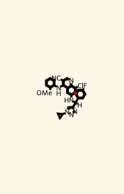 [2H][C@](Nc1cc(Cl)c2ncc(C#N)c(Nc3ccccc3OC)c2c1)(c1ccc(F)cc1)c1cn(C2CC2)nn1